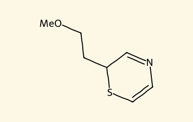 COCCC1C=NC=CS1